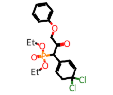 CCOP(=O)(OCC)C(C(=O)COc1ccccc1)C1=CCC(Cl)(Cl)C=C1